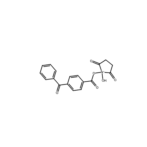 O=C(O[N+]1(O)C(=O)CCC1=O)c1ccc(C(=O)c2ccccc2)cc1